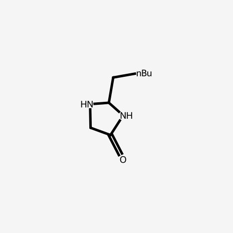 CCCCCC1NCC(=O)N1